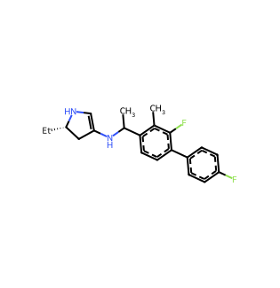 CC[C@H]1CC(NC(C)c2ccc(-c3ccc(F)cc3)c(F)c2C)=CN1